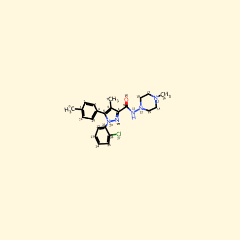 Cc1ccc(-c2c(C)c(C(=O)NN3CCN(C)CC3)nn2-c2ccccc2Cl)cc1